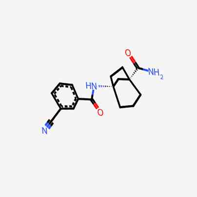 N#Cc1cccc(C(=O)N[C@]23CCC[C@](C(N)=O)(CC2)C3)c1